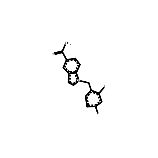 CC(=O)c1ccc2c(ccn2Cc2ccc(F)cc2F)c1